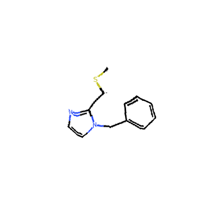 CS[CH]c1nccn1Cc1ccccc1